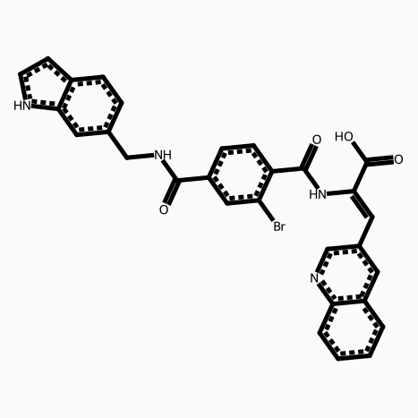 O=C(O)/C(=C/c1cnc2ccccc2c1)NC(=O)c1ccc(C(=O)NCc2ccc3cc[nH]c3c2)cc1Br